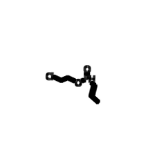 CC=C[PH](=O)OCCCl